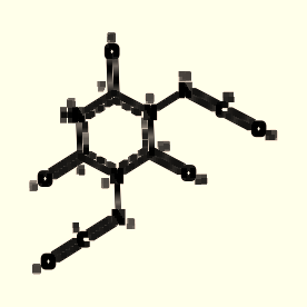 O=C=Nn1c(=O)[nH]c(=O)n(N=C=O)c1=O